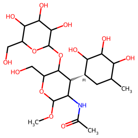 COC1OC(CO)C(OC2OC(CO)C(O)C(O)C2O)C([C@H]2CC(C)C(O)C(O)C2O)C1NC(C)=O